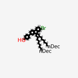 CCCCCCCCCCCCCCCCCCC1(CCCCCCCCCCCCCCCCCC)c2cc(Br)ccc2-c2ccc(-c3ccc(O)cc3)cc21